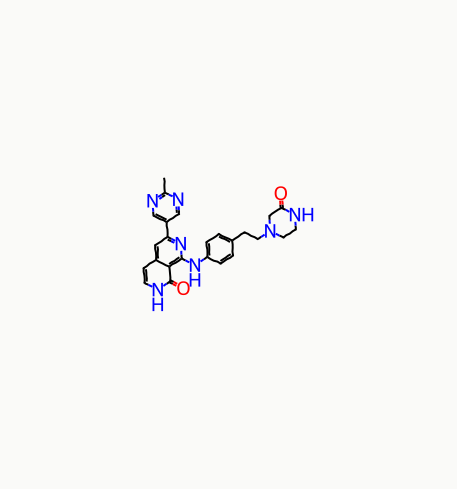 Cc1ncc(-c2cc3cc[nH]c(=O)c3c(Nc3ccc(CCN4CCNC(=O)C4)cc3)n2)cn1